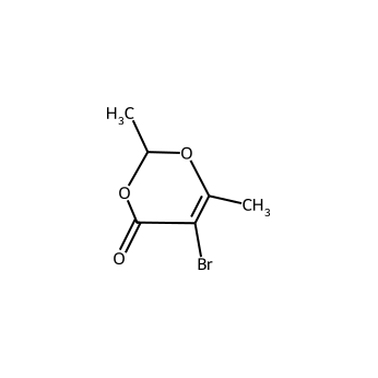 CC1=C(Br)C(=O)OC(C)O1